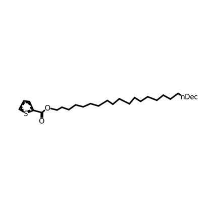 CCCCCCCCCCCCCCCCCCCCCCCCCCCCOC(=O)c1cccs1